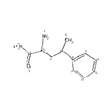 CC(CC(N)C(N)=O)c1ccccc1